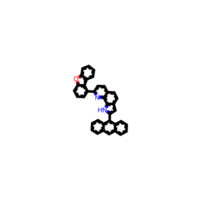 c1ccc2c(-c3cc4ccc5ccc(-c6cccc7oc8ccccc8c67)nc5c4[nH]3)c3ccccc3cc2c1